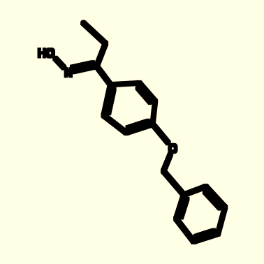 CCC(=NO)c1ccc(OCc2ccccc2)cc1